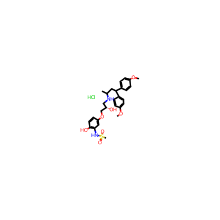 COc1ccc(C(CC(C)NC[C@H](O)COc2ccc(O)c(NS(C)(=O)=O)c2)c2ccc(OC)cc2)cc1.Cl